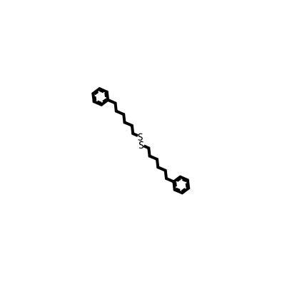 c1ccc(CCCCCCSSCCCCCCc2ccccc2)cc1